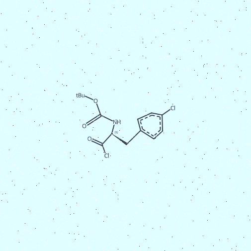 CC(C)(C)OC(=O)N[C@@H](Cc1ccc(Cl)cc1)C(=O)Cl